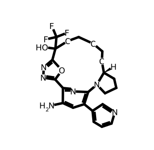 Nc1cc(-c2cccnc2)c2nc1-c1nnc(o1)C(O)(C(F)(F)F)CCCCC[C@@H]1CCCN21